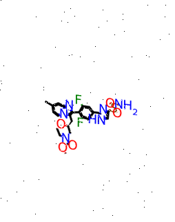 COC(=O)N1CCO[C@@H](Cc2c(-c3c(F)cc(-c4nc(S(N)(=O)=O)c[nH]4)cc3F)nc3cc(C)ccn23)C1